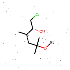 CCOC(C)(C)CC(C)[C@@H](O)CCl